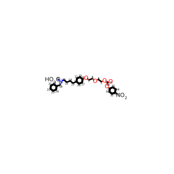 O=C(OCCOCCOc1ccc(CCCCN(Cc2ccccc2)C(=O)O)cc1)Oc1ccc([N+](=O)[O-])cc1